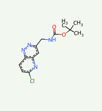 CC(C)(C)OC(=O)NCc1cc2nc(Cl)ccc2nn1